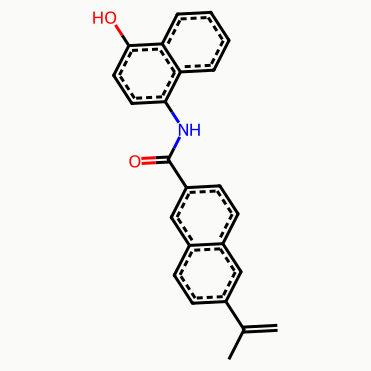 C=C(C)c1ccc2cc(C(=O)Nc3ccc(O)c4ccccc34)ccc2c1